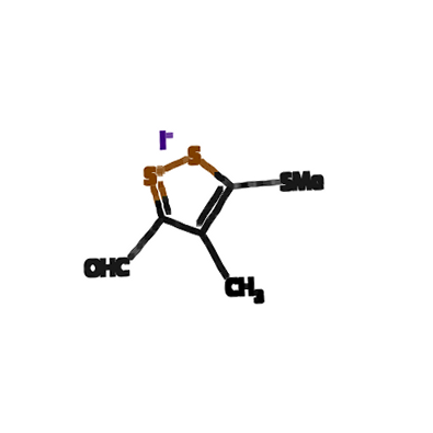 CSc1s[s+]c(C=O)c1C.[I-]